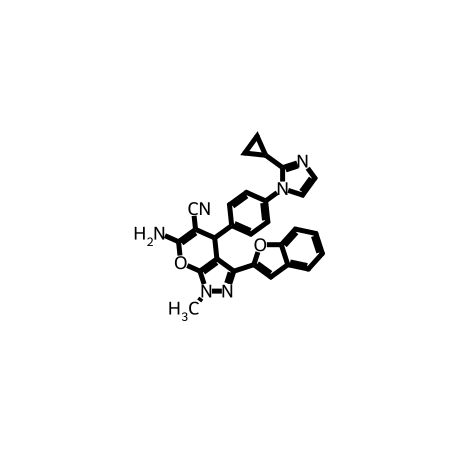 Cn1nc(-c2cc3ccccc3o2)c2c1OC(N)=C(C#N)C2c1ccc(-n2ccnc2C2CC2)cc1